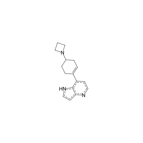 C1=C(c2ccnc3cc[nH]c23)CCC(N2CCC2)C1